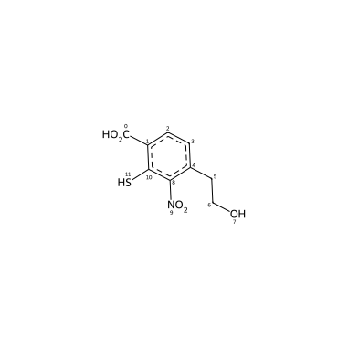 O=C(O)c1ccc(CCO)c([N+](=O)[O-])c1S